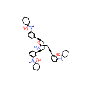 CN(c1cccc(C#CCC(CC#Cc2cccc(N(C)C3(O)CCCCC3)c2)(CC#Cc2cccc(N(C)C3(O)CCCCC3)c2)C(N)=O)c1)C1(O)CCCCC1